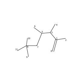 C=C(C)C(C)C(C)CC(C)(C)C